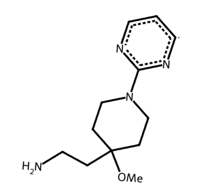 COC1(CCN)CCN(c2n[c]ccn2)CC1